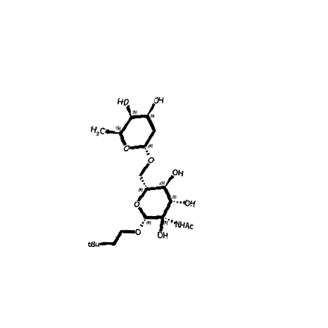 CC(=O)N[C@]1(O)[C@H](OCCC(C)(C)C)O[C@H](CO[C@H]2C[C@H](O)[C@H](O)[C@H](C)O2)[C@@H](O)[C@@H]1O